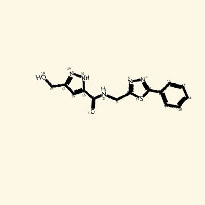 O=C(NCc1nnc(-c2ccccc2)s1)c1cc(CO)n[nH]1